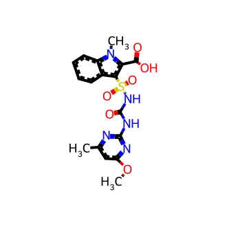 COc1cc(C)nc(NC(=O)NS(=O)(=O)c2c(C(=O)O)n(C)c3ccccc23)n1